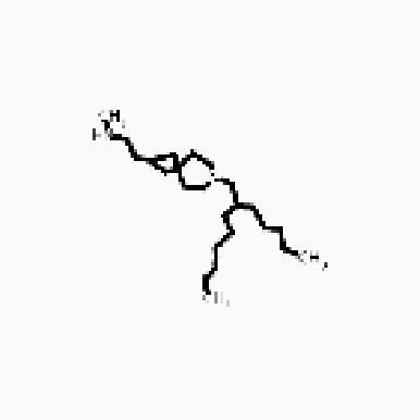 CCCCCCC(CCCCC)CN1CCC2(CC1)CC(CCNC)C2